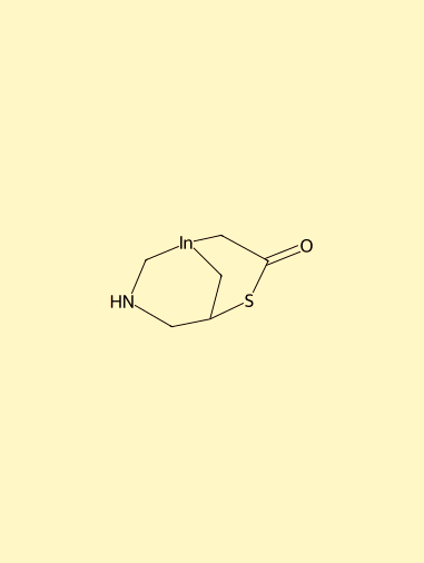 O=C1[CH2][In]2[CH2]NCC([CH2]2)S1